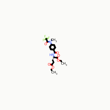 CCOC(=O)CC[C@H](NC(=O)c1ccc(N(C)C(=O)C(F)(F)F)cc1)C(=O)OCC